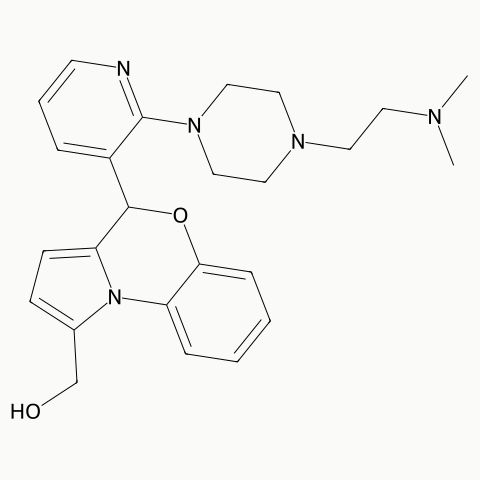 CN(C)CCN1CCN(c2ncccc2C2Oc3ccccc3-n3c(CO)ccc32)CC1